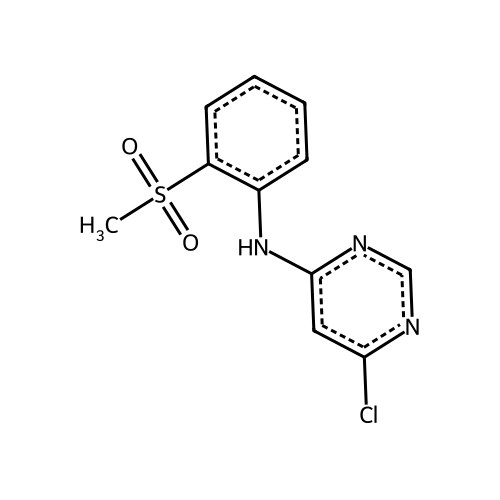 CS(=O)(=O)c1ccccc1Nc1cc(Cl)ncn1